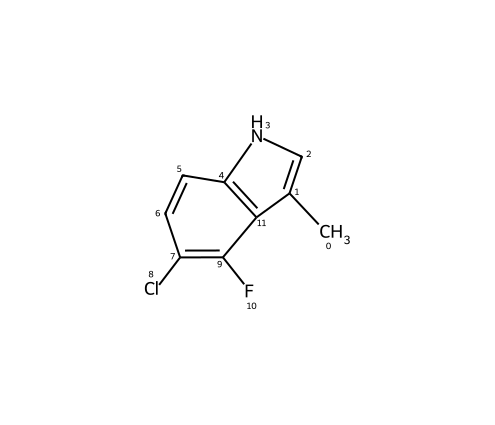 Cc1c[nH]c2ccc(Cl)c(F)c12